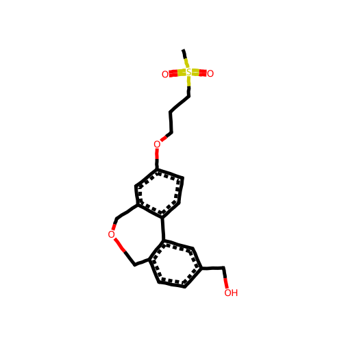 CS(=O)(=O)CCCOc1ccc2c(c1)COCc1ccc(CO)cc1-2